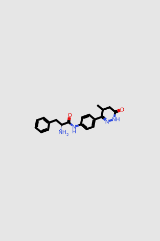 CC1CC(=O)NN=C1c1ccc(NC(=O)[C@H](N)Cc2ccccc2)cc1